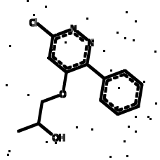 CC(O)COc1cc(Cl)nnc1-c1ccccc1